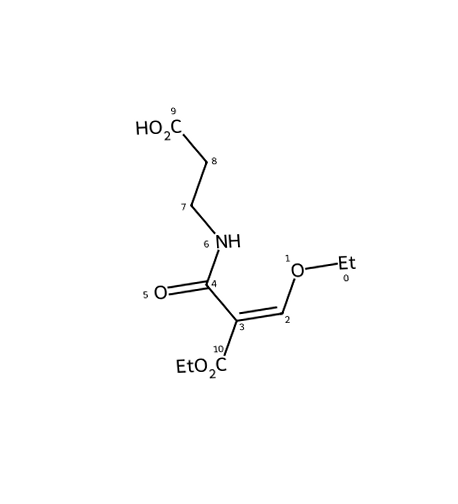 CCO/C=C(\C(=O)NCCC(=O)O)C(=O)OCC